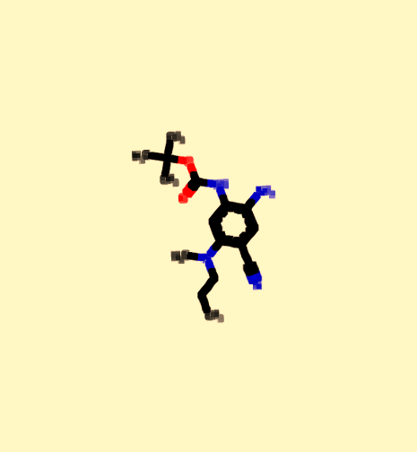 CCCN(C)c1cc(NC(=O)OC(C)(C)C)c(N)cc1C#N